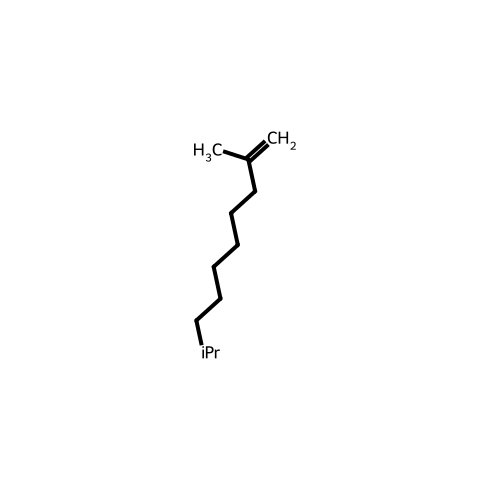 C=C(C)CCCCCCC(C)C